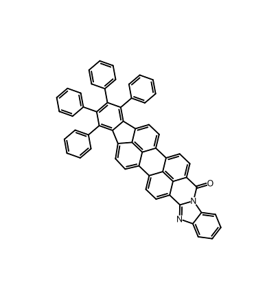 O=c1c2ccc3c4ccc5c6c(ccc(c7ccc(c2c37)c2nc3ccccc3n12)c64)-c1c(-c2ccccc2)c(-c2ccccc2)c(-c2ccccc2)c(-c2ccccc2)c1-5